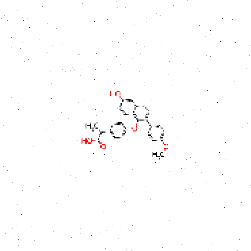 COc1ccc(-c2ccc3cc(O)ccc3c2Oc2ccc(C(C)C(=O)O)cc2)cc1